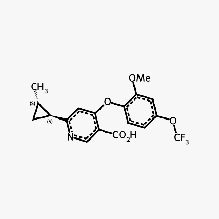 COc1cc(OC(F)(F)F)ccc1Oc1cc([C@H]2C[C@@H]2C)ncc1C(=O)O